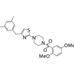 COc1ccc(OC)c(S(=O)(=O)N2CCN(c3nc(Cc4cc(C)cc(C)c4)cs3)CC2)c1